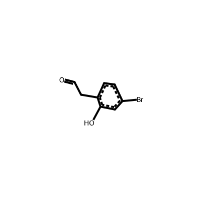 O=CCc1ccc(Br)cc1O